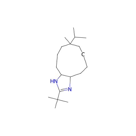 CC(C)C1(C)CCCCC2N=C(C(C)(C)C)NC2CCC1